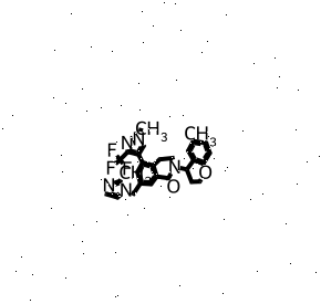 Cc1ccc2c(c1)C(N1CCc3c(cc(Cn4ccnc4C)cc3-c3cn(C)nc3C(F)(F)F)C1=O)CCO2